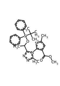 COC(=O)c1cc(C)sc1-n1c(C)nnc1C(C)O[Si](c1ccccc1)(c1ccccc1)C(C)(C)C